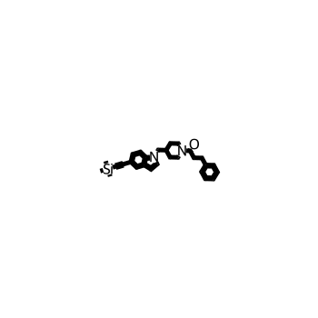 C[Si](C)(C)C#Cc1ccc2c(ccn2CC2CCN(C(=O)CCc3ccccc3)CC2)c1